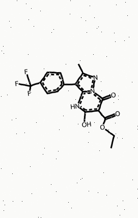 CCOC(=O)c1c(O)[nH]c2c(-c3ccc(C(F)(F)F)cc3)c(C)nn2c1=O